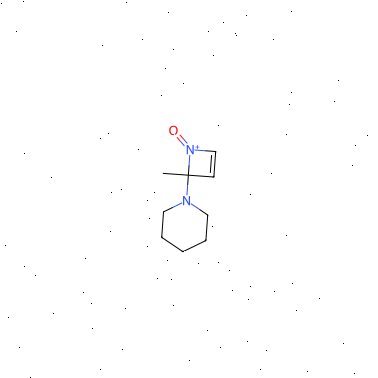 CC1(N2CCCCC2)C=C[N+]1=O